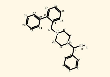 CC(c1ccccc1)N1CCN(Cc2ccccc2-c2ccccc2)CC1